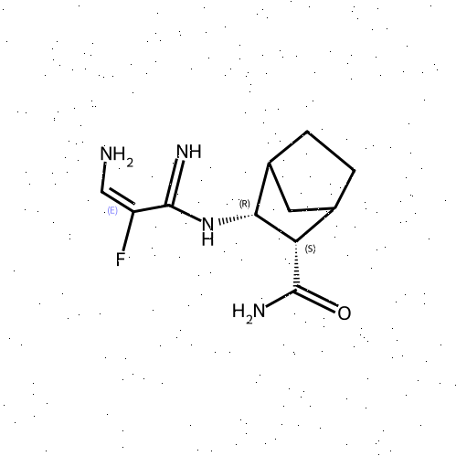 N=C(N[C@@H]1C2CCC(C2)[C@@H]1C(N)=O)/C(F)=C\N